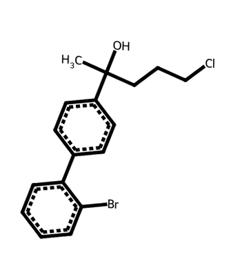 CC(O)(CCCCl)c1ccc(-c2ccccc2Br)cc1